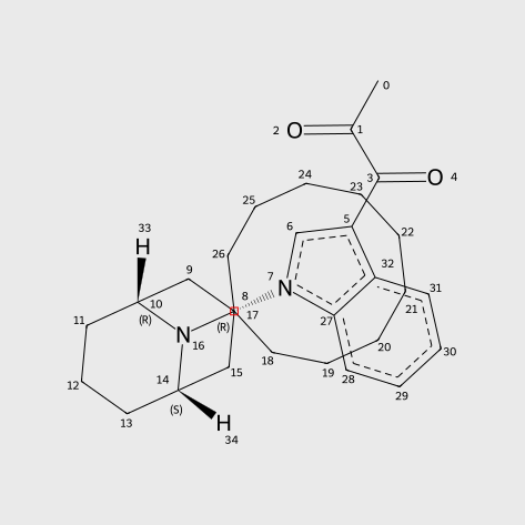 CC(=O)C(=O)c1cn([C@H]2C[C@H]3CCC[C@@H](C2)N3C2CCCCCCCCC2)c2ccccc12